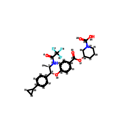 C[C@H](NC(=O)C(F)(F)F)[C@H](Oc1ccc(C(=O)O[C@H]2CCCN(C(=O)O)C2)cc1)c1ccc(C2CC2)cc1